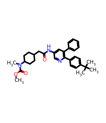 COC(=O)N(C)C1CCC(CC(=O)Nc2cnc(-c3ccc(C(C)(C)C)cc3)c(-c3ccccc3)c2)CC1